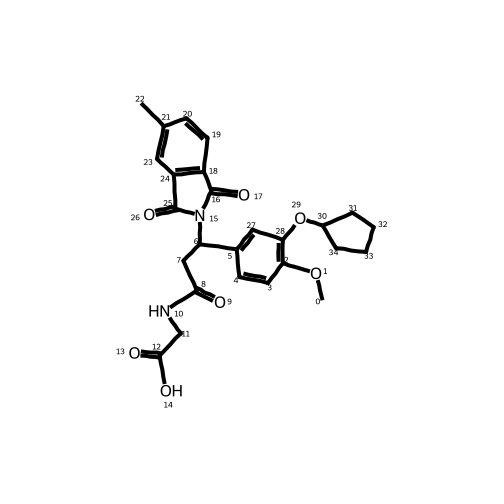 COc1ccc(C(CC(=O)NCC(=O)O)N2C(=O)c3ccc(C)cc3C2=O)cc1OC1CCCC1